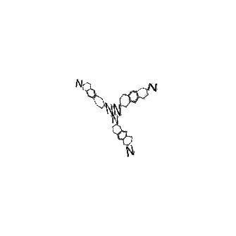 CN(C)C1CCc2cc3c(cc2C1)CCC(N1CN(C2CCc4cc5c(cc4C2)CCC(N(C)C)C5)CN(C2CCc4cc5c(cc4C2)CCC(N(C)C)C5)C1)C3